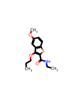 CCCOc1c(C(=O)NCC)sc2ccc(OC)cc12